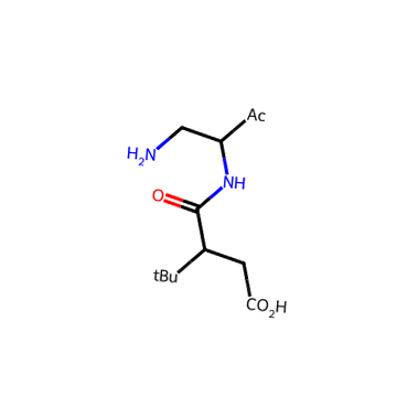 CC(=O)C(CN)NC(=O)C(CC(=O)O)C(C)(C)C